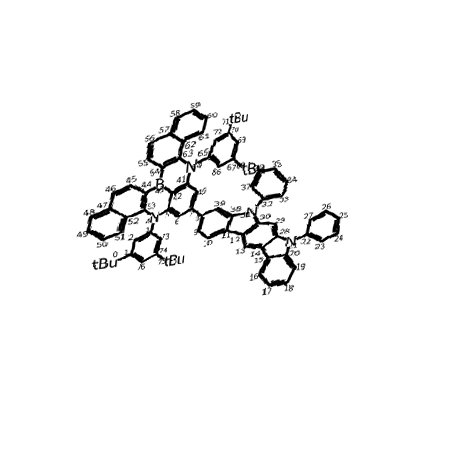 CC(C)(C)c1cc(N2c3cc(-c4ccc5c6cc7c8ccccc8n(-c8ccccc8)c7cc6n(-c6ccccc6)c5c4)cc4c3B(c3ccc5ccccc5c32)c2ccc3ccccc3c2N4c2cc(C(C)(C)C)cc(C(C)(C)C)c2)cc(C(C)(C)C)c1